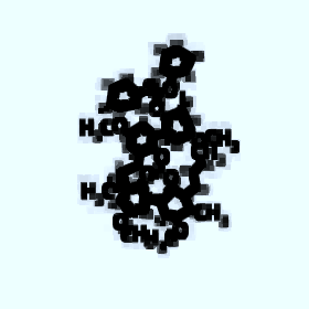 CCCCc1cc(OC)cc(-c2cc(OC)cc(I)c2OP(Oc2ccccc2)Oc2ccccc2)c1Op1oc2c(c3cc(OC)cc(I)c3o1)C=C(OC)C(C)C2CCCC